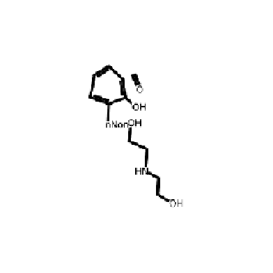 C=O.CCCCCCCCCc1ccccc1O.OCCNCCO